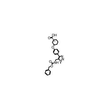 Cn1nnc(-c2ccc(O[C@H]3CCC[C@H](C(=O)O)C3)cc2)c1CNC(=O)OCc1ccccc1